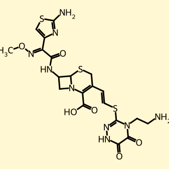 CON=C(C(=O)NC1CN2C(C(=O)O)=C(C=CSc3n[nH]c(=O)c(=O)n3CCN)CSC12)c1csc(N)n1